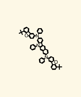 CC(C)(C)c1cccc2c1oc1ccc(N(c3ccccc3)c3ccc4cc5c6ccc(N(c7ccccc7)c7ccc8oc9c(C(C)(C)C)cccc9c8c7)cc6n(-c6ccccc6)c5cc4c3)cc12